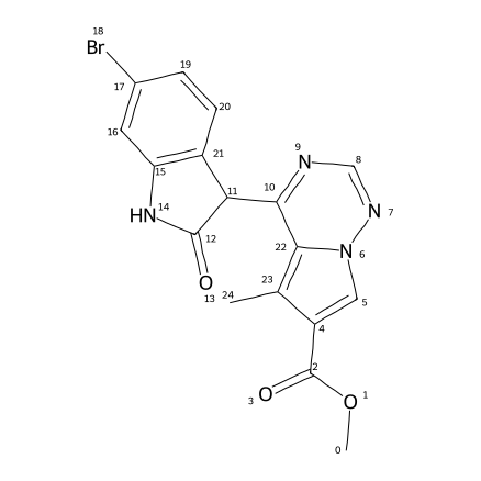 COC(=O)c1cn2ncnc(C3C(=O)Nc4cc(Br)ccc43)c2c1C